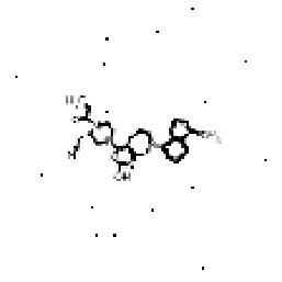 C=CC(=O)N1CCN(c2nc(O)nc3c2CCCN(c2cccc4c(C)cccc24)C3)C[C@@H]1CC#N